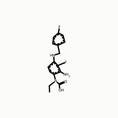 CCN(C(=O)O)c1ccc(NCc2ccc(F)cc2)c(F)c1N